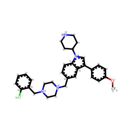 FC(F)(F)Oc1ccc(-c2cn(C3CCNCC3)c3ccc(CN4CCN(Cc5ccccc5Cl)CC4)cc23)cc1